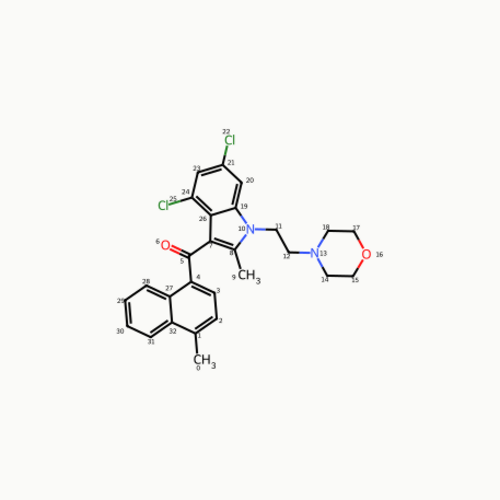 Cc1ccc(C(=O)c2c(C)n(CCN3CCOCC3)c3cc(Cl)cc(Cl)c23)c2ccccc12